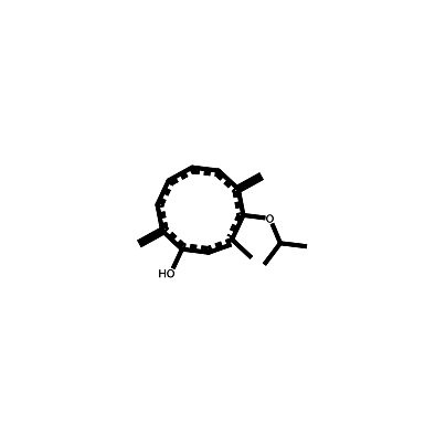 C=c1ccccc(=C)c(OC(C)C)c(C)cc1O